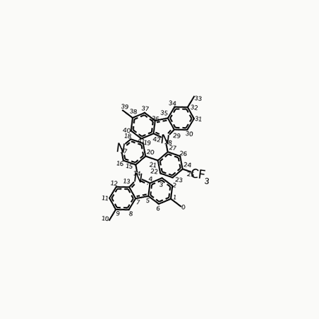 Cc1ccc2c(c1)c1cc(C)ccc1n2-c1cnccc1-c1ccc(C(F)(F)F)cc1-n1c2ccc(C)cc2c2cc(C)ccc21